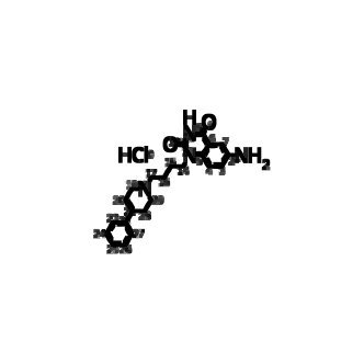 Cl.Nc1ccc2c(c1)c(=O)[nH]c(=O)n2CCCCN1CC=C(c2ccccc2)CC1